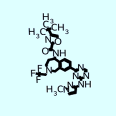 Cn1ccc(Nc2ncnc(-c3ccc4c(c3)CN(CC(F)(F)F)CCC4NC(=O)c3nc(C(C)(C)C)co3)n2)n1